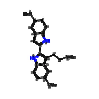 COc1ccc2[nH]c(-c3[nH]c4ccc(OC)cc4c3CCNC(C)=O)cc2c1